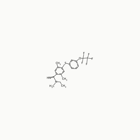 CCN(C)C(=N)c1cc(C)c(Sc2cccc(OC(F)(F)C(F)(F)F)c2)cc1C